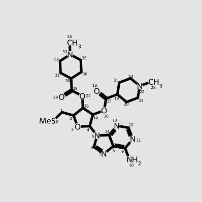 CSCC1OC(n2cnc3c(N)ncnc32)C(OC(=O)C2CCN(C)CC2)C1OC(=O)C1CCN(C)CC1